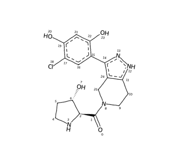 O=C([C@H]1NCC[C@@H]1O)N1CCc2[nH]nc(-c3cc(Cl)c(O)cc3O)c2C1